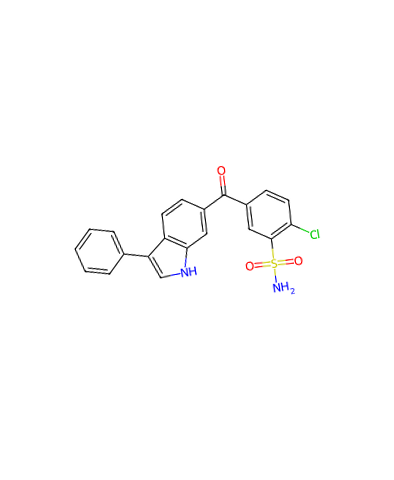 NS(=O)(=O)c1cc(C(=O)c2ccc3c(-c4ccccc4)c[nH]c3c2)ccc1Cl